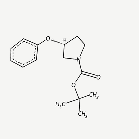 CC(C)(C)OC(=O)N1CC[C@@H](Oc2ccccc2)C1